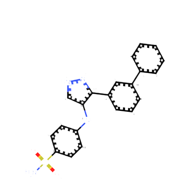 NS(=O)(=O)c1ccc(Nc2c[nH]nc2-c2cccc(-c3ccccc3)c2)cc1